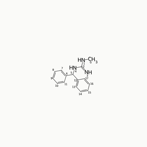 CNC(=N)NC(c1ccccc1)c1ccccc1